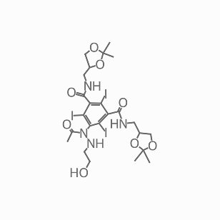 CC(=O)N(NCCO)c1c(I)c(C(=O)NCC2COC(C)(C)O2)c(I)c(C(=O)NCC2COC(C)(C)O2)c1I